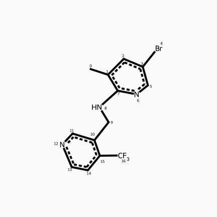 Cc1cc(Br)cnc1NCc1cnccc1C(F)(F)F